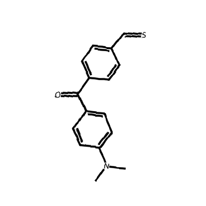 CN(C)c1ccc(C(=O)c2ccc(C=S)cc2)cc1